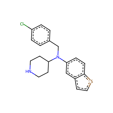 Clc1ccc(CN(c2ccc3sccc3c2)C2CCNCC2)cc1